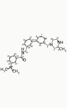 C[C@H]1CN(Cc2cccc(-c3cccc(CNC(=O)c4cccc(N(C)C)c4)c3)c2)CCN1